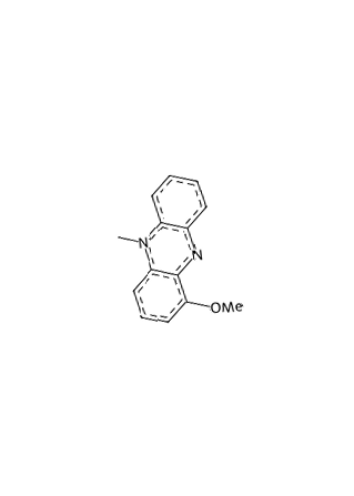 COc1cccc2c1nc1ccccc1[n+]2C